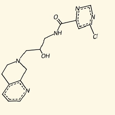 O=C(NCC(O)CN1CCc2cccnc2C1)c1cc(Cl)ncn1